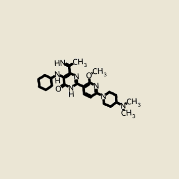 COc1nc(N2CCC(N(C)C)CC2)ccc1-c1nc(C(C)=N)c(NC2CCCCC2)c(=O)[nH]1